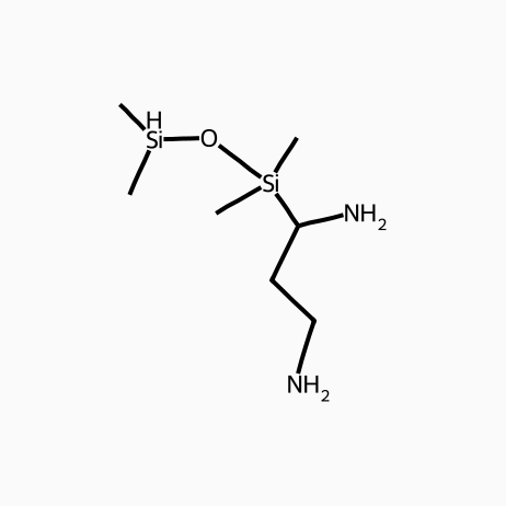 C[SiH](C)O[Si](C)(C)C(N)CCN